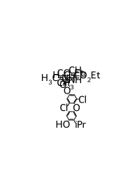 CCOC(=O)C(C)(C)NP(=O)(COc1cc(Cl)c(Oc2ccc(O)c(C(C)C)c2)c(Cl)c1)NC(C)(C)C(=O)OCC